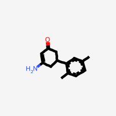 Cc1ccc(C)c(C2CC(=O)C=C(N)C2)c1